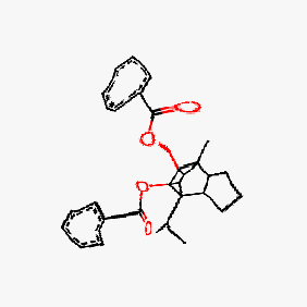 CC(C)C12CCC(C)(C3CCCC31)C(OC(=O)c1ccccc1)C2OC(=O)c1ccccc1